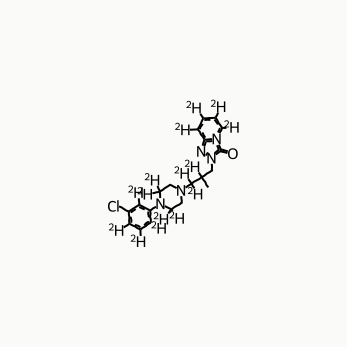 [2H]c1c([2H])c(Cl)c([2H])c(N2C([2H])([2H])CN(C([2H])([2H])C([2H])(C)Cn3nc4c([2H])c([2H])c([2H])c([2H])n4c3=O)CC2([2H])[2H])c1[2H]